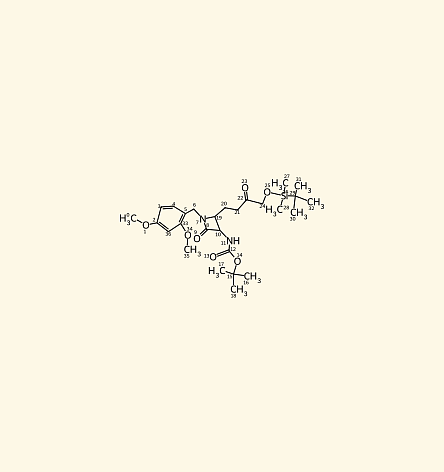 COc1ccc(CN2C(=O)C(NC(=O)OC(C)(C)C)C2CCC(=O)CO[Si](C)(C)C(C)(C)C)c(OC)c1